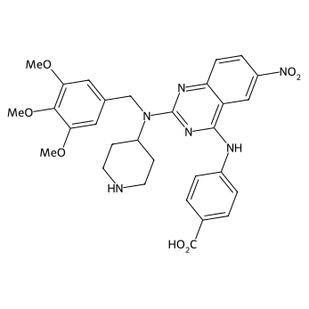 COc1cc(CN(c2nc(Nc3ccc(C(=O)O)cc3)c3cc([N+](=O)[O-])ccc3n2)C2CCNCC2)cc(OC)c1OC